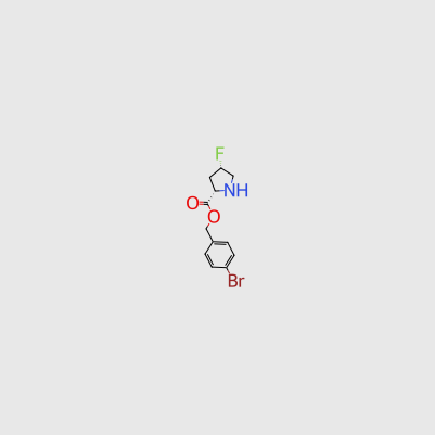 O=C(OCc1ccc(Br)cc1)[C@@H]1C[C@H](F)CN1